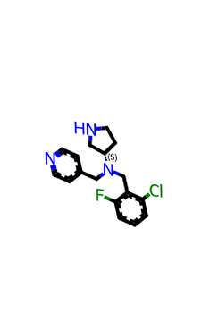 Fc1cccc(Cl)c1CN(Cc1ccncc1)[C@H]1CCNC1